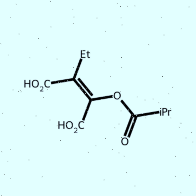 CC/C(C(=O)O)=C(\OC(=O)C(C)C)C(=O)O